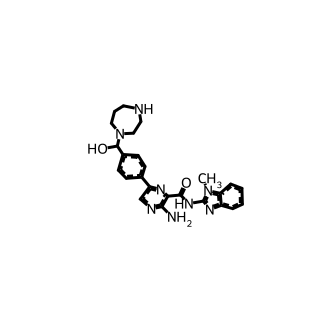 Cn1c(NC(=O)c2nc(-c3ccc(C(O)N4CCCNCC4)cc3)cnc2N)nc2ccccc21